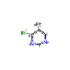 CCc1cncnc1Br